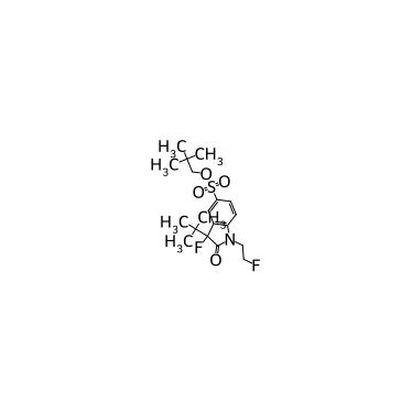 CC(C)(C)COS(=O)(=O)c1ccc2c(c1)C(F)(C(C)(C)C)C(=O)N2CCF